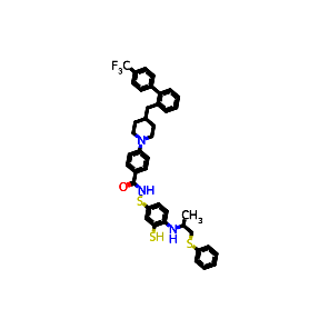 CC(CSc1ccccc1)Nc1ccc(SNC(=O)c2ccc(N3CCC(Cc4ccccc4-c4ccc(C(F)(F)F)cc4)CC3)cc2)cc1S